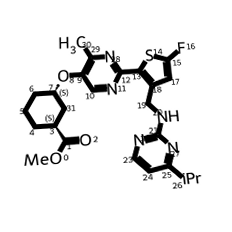 COC(=O)[C@H]1CCC[C@H](Oc2cnc(-c3sc(F)cc3CNc3nccc(C(C)C)n3)nc2C)C1